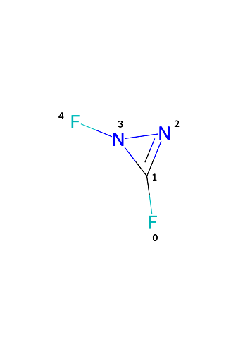 FC1=NN1F